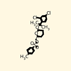 Cc1ccc(S(=O)(=O)OC[C@H]2CCC[C@H](OC(C)(C)c3ccc(Cl)cc3Cl)O2)cc1